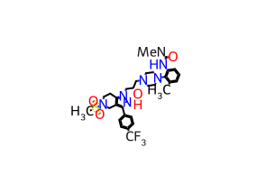 CNC(=O)Nc1cccc(C)c1N1CCN(CC(O)Cn2nc(-c3ccc(C(F)(F)F)cc3)c3c2CCN(S(C)(=O)=O)C3)CC1